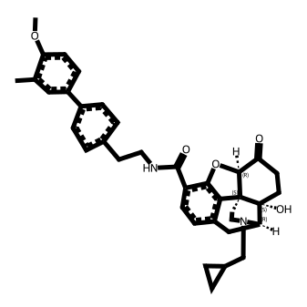 COc1ccc(-c2ccc(CCNC(=O)c3ccc4c5c3O[C@H]3C(=O)CC[C@@]6(O)[C@@H](C4)N(CC4CC4)CC[C@]536)cc2)cc1C